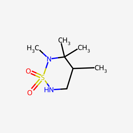 CC1CNS(=O)(=O)N(C)C1(C)C